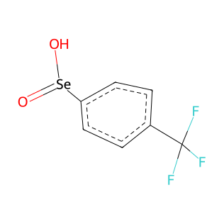 O=[Se](O)c1ccc(C(F)(F)F)cc1